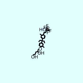 CCC(CC)(c1ccc(/C=C/C(O)(C(F)(F)F)C(F)(F)F)c(C)c1)c1ccc(OC[C@@H](O)CCCO)c(C)c1